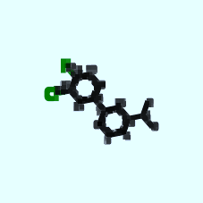 CC(C)c1cccc(-c2ccc(F)c(Cl)c2)c1